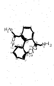 NC(=O)c1cccc(C(N)=O)c1-c1c(F)cccc1Cl